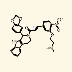 CN(C)CCOc1cc(/C=C/C(=O)N2CCc3c([nH]c4ccccc34)C2c2ccc3c(c2)OCO3)ccc1[N+](=O)[O-]